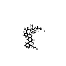 CCNC(=O)c1ccccc1-c1ccc(CN2C(=O)C(NC(=O)CC(C)(C)N)C(C)C(C)c3ccccc32)cc1